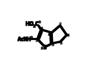 CC(=O)Nc1sc2c(c1C(=O)O)CCC2